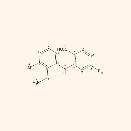 NCc1c(Cl)cccc1Nc1cc(F)ccc1C(=O)O